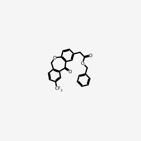 O=C(Cc1ccc2c(c1)C(=O)c1cc(C(F)(F)F)ccc1CO2)OCc1ccccc1